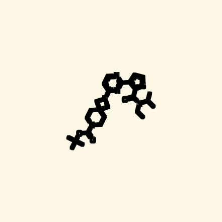 CCN(C(=O)c1sccc1-c1nccc(N2CC3(CCN(C(=O)OC(C)(C)C)CC3)C2)n1)C(C)C